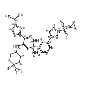 CC1(F)CCC(NC2=CC(N)(c3ccnc(-c4cnn(S(=O)(=O)C5CC5)c4)n3)NC=C2c2ccn(C(F)F)n2)CC1